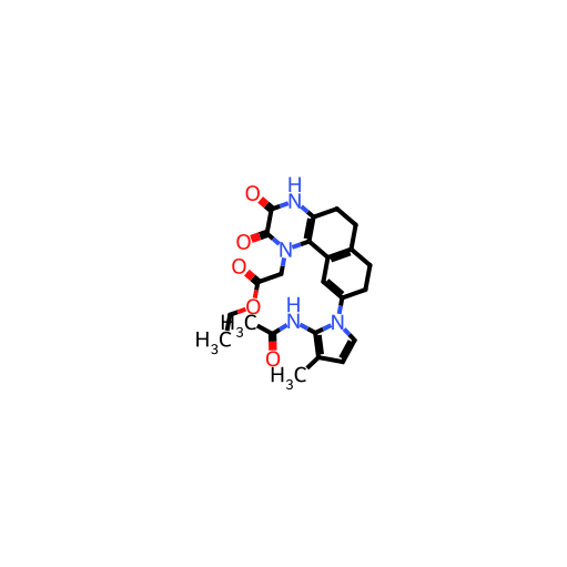 CCOC(=O)Cn1c2c([nH]c(=O)c1=O)CCC1=C2C=C(n2ccc(C)c2NC(C)=O)CC1